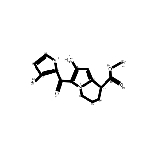 Cc1cc2n(c1C(=O)c1sccc1Br)CCCC2C(=O)OC(C)C